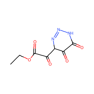 CCOC(=O)C(=O)C1N=NNC(=O)C1=O